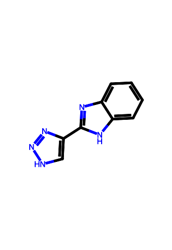 c1ccc2[nH]c(-c3c[nH]nn3)nc2c1